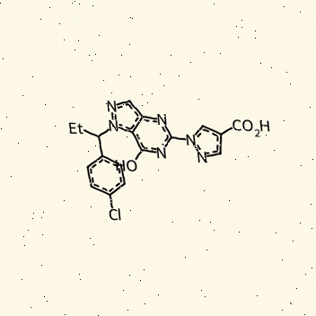 CCC(c1ccc(Cl)cc1)n1ncc2nc(-n3cc(C(=O)O)cn3)nc(O)c21